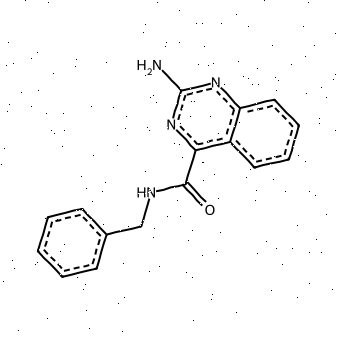 Nc1nc(C(=O)NCc2ccccc2)c2ccccc2n1